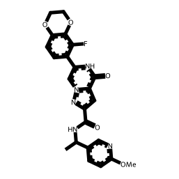 COc1ccc(C(C)NC(=O)c2cc3c(=O)[nH]c(-c4ccc5c(c4F)OCCO5)cn3n2)cn1